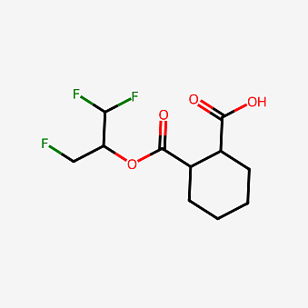 O=C(O)C1CCCCC1C(=O)OC(CF)C(F)F